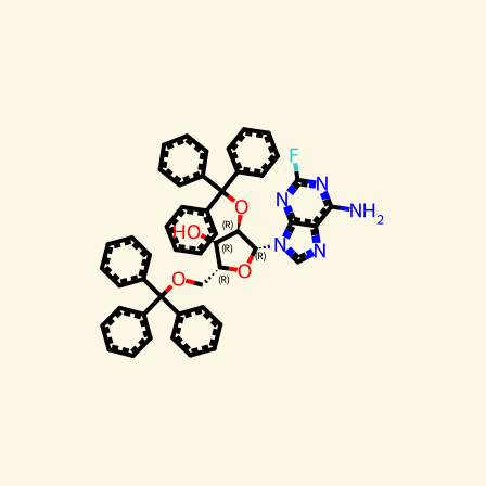 Nc1nc(F)nc2c1ncn2[C@@H]1O[C@H](COC(c2ccccc2)(c2ccccc2)c2ccccc2)[C@@H](O)[C@H]1OC(c1ccccc1)(c1ccccc1)c1ccccc1